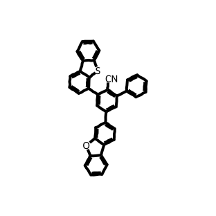 N#Cc1c(-c2ccccc2)cc(-c2ccc3c(c2)oc2ccccc23)cc1-c1cccc2c1sc1ccccc12